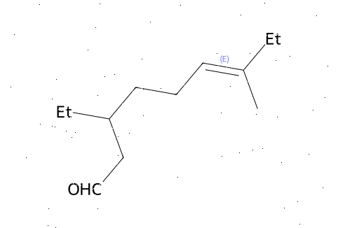 CC/C(C)=C/CCC(CC)CC=O